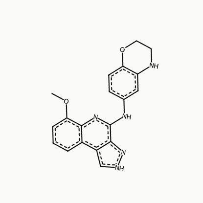 COc1cccc2c1nc(Nc1ccc3c(c1)NCCO3)c1n[nH]cc12